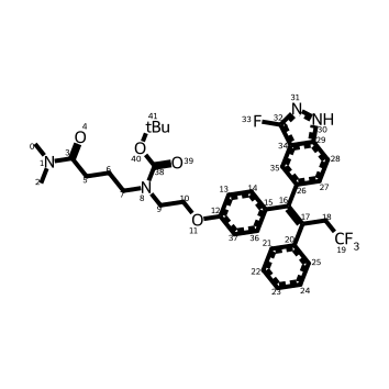 CN(C)C(=O)CCCN(CCOc1ccc(/C(=C(/CC(F)(F)F)c2ccccc2)c2ccc3[nH]nc(F)c3c2)cc1)C(=O)OC(C)(C)C